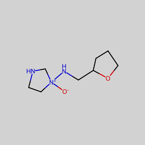 [O-][N+]1(NCC2CCCO2)CCNC1